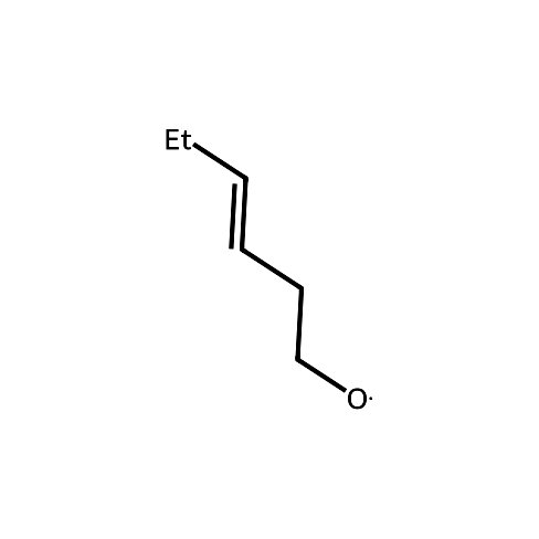 [CH2]CC=CCC[O]